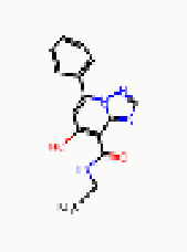 O=C(O)CNC(=O)c1c(O)cc(-c2ccccc2)n2ncnc12